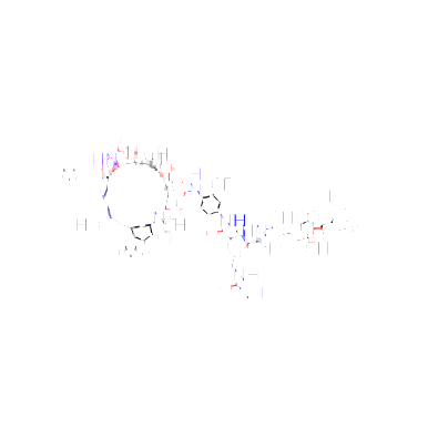 C=C(CBr)C(=O)OC(C)(C)CCCC(C=O)N[C@H](C(=O)N[C@@H](CCCNC(N)=O)C(=O)Nc1ccc(NC(=O)O[C@H]2CC(=O)N(C)c3cc(cc(OC)c3Cl)C/C(C)=C/C=C/[C@@H](OC)[C@@]3(O)C[C@H](OC(=O)N3)[C@@H](C)[C@@H]3O[C@@]23C)c(C(F)(F)F)c1)C(C)C